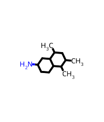 CC1CC(C)C2CC(N)CCC2C1C